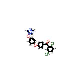 O=C(c1ccc(Oc2ccc(On3cncn3)cc2)cc1)c1cc(Cl)ccc1Cl